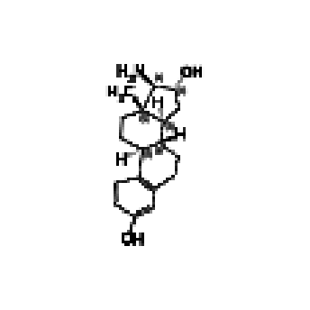 C[C@]12CC[C@@H]3c4ccc(O)cc4CC[C@H]3[C@@H]1C[C@@H](O)[C@@H]2N